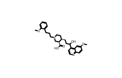 COc1ccc2nccc(C(O)CC[C@@H]3CCN(CCCc4ccccc4OC)C[C@@H]3C(=O)O)c2c1